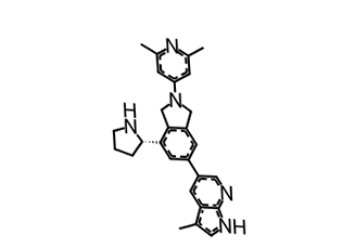 Cc1cc(N2Cc3cc(-c4cnc5[nH]cc(C)c5c4)cc([C@@H]4CCCN4)c3C2)cc(C)n1